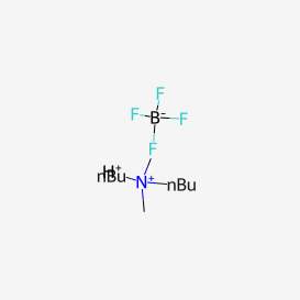 CCCC[N+](C)(C)CCCC.F[B-](F)(F)F.[H+]